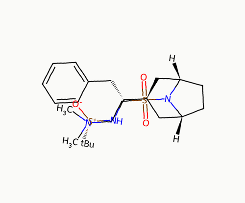 CN(C)CCS(=O)(=O)N1[C@@H]2CC[C@H]1C[C@H]([C@@H](Cc1ccccc1)N[S@@+]([O-])C(C)(C)C)C2